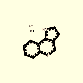 Cl.[H+].c1ccc2c(c1)ncc1cc[nH]c12